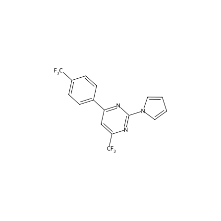 FC(F)(F)c1ccc(-c2cc(C(F)(F)F)nc(-n3cccc3)n2)cc1